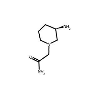 NC(=O)CN1CCC[C@@H](N)C1